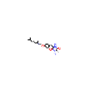 CC(C)=CCC/C(C)=C/COc1ccc(/C=C2/NC(=O)[C@H](C)NC2=O)cc1